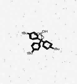 CC(C)(C)c1ccc(C(OB(O)O)(c2ccc(C(C)(C)C)cc2)c2ccc(C(C)(C)C)cc2)cc1